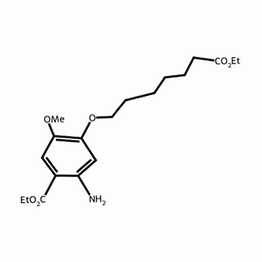 CCOC(=O)CCCCCCOc1cc(N)c(C(=O)OCC)cc1OC